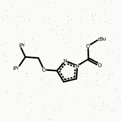 CC(C)C(COc1ccn(C(=O)OC(C)(C)C)n1)C(C)C